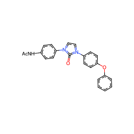 CC(=O)Nc1ccc(-n2ccn(-c3ccc(Oc4ccccc4)cc3)c2=O)cc1